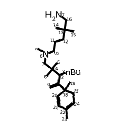 C=C(C(CCCC)C(C)(C)CN(C)CCCC(C)(C)CN)C1(C)C=CC(C)=CC1